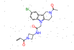 C=CC(=O)N1CC(NC(=O)Cn2c3c(c4cc(Br)ccc42)CN(C(C)=O)CC3)C1